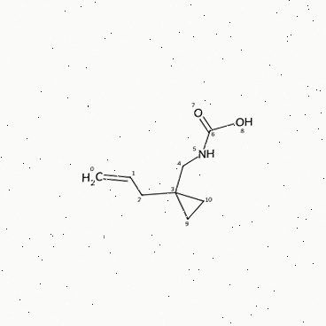 C=CCC1(CNC(=O)O)CC1